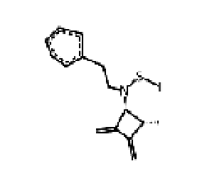 C=C1C(=C)[C@@H](N(CCc2ccccc2)SI)[C@@H]1C